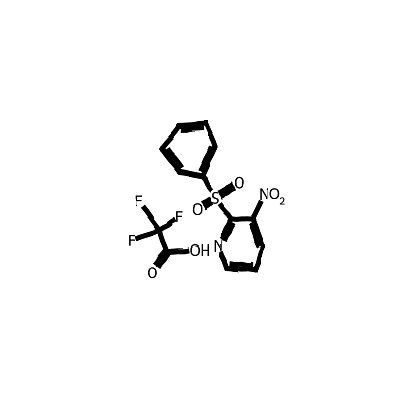 O=C(O)C(F)(F)F.O=[N+]([O-])c1cccnc1S(=O)(=O)c1ccccc1